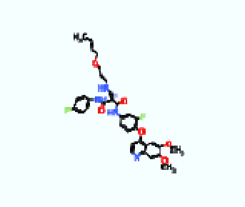 CCCCOCCCN/C=C(\C(=O)Nc1ccc(F)cc1)C(=O)Nc1ccc(Oc2ccnc3cc(OC)c(OC)cc23)c(F)c1